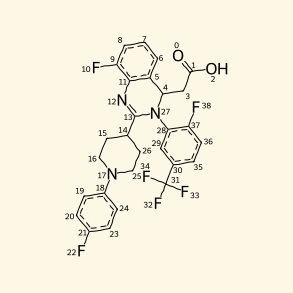 O=C(O)CC1c2cccc(F)c2N=C(C2CCN(c3ccc(F)cc3)CC2)N1c1cc(C(F)(F)F)ccc1F